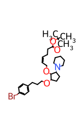 CC(C)(C)OC(=O)CC/C=C\COC1[C@@H](OCCCc2ccc(Br)cc2)CC[C@H]1N1CCCCC1